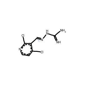 N=C(N)N/N=C/c1c(Cl)ccnc1Cl